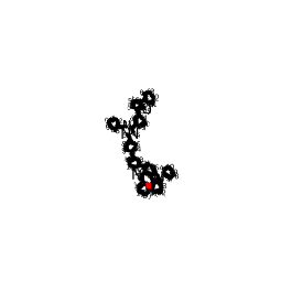 c1ccc(-c2nc(-c3ccc(-c4ccc5nc(-c6ccccc6)c6c(ccc7c6c6ccccc6n7-c6ccccc6)c5c4)cc3)nc(-c3cccc(-c4cccc5c4oc4ccccc45)c3)n2)cc1